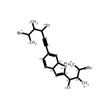 CCC(C)C(C)C(C)C(C#CC1=CC2NC(C(CC)C(C)C(C)C(C)CC)=CC2C=C1)CC